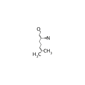 CC(C)=CCCC(C#N)=CC=O